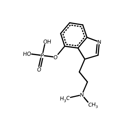 CN(C)CCC1C=Nc2cccc(OP(=O)(O)O)c21